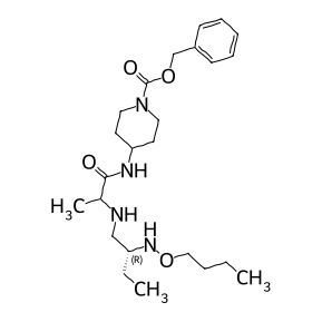 CCCCON[C@H](CC)CNC(C)C(=O)NC1CCN(C(=O)OCc2ccccc2)CC1